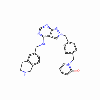 O=c1ccccn1Cc1ccc(Cn2cc3c(NCc4ccc5c(c4)CCNC5)ncnc3n2)cc1